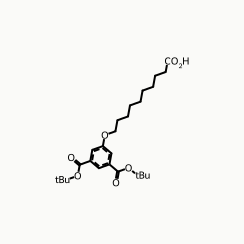 CC(C)(C)OC(=O)c1cc(OCCCCCCCCCC(=O)O)cc(C(=O)OC(C)(C)C)c1